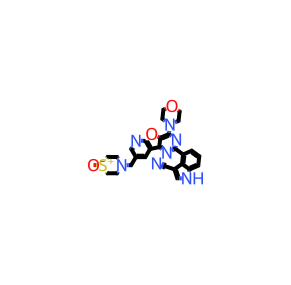 N#Cc1c[nH]c2cccc(-c3nc(N4CCOCC4)c4oc5ncc(CN6CC[S+]([O-])CC6)cc5c4n3)c12